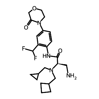 NC[C@H](C(=O)Nc1ccc(N2CCOCC2=O)cc1C(F)F)N(CC1CCC1)CC1CC1